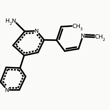 C=N/C=C\C(=C/C)c1cc(-c2ccncc2)cc(N)n1